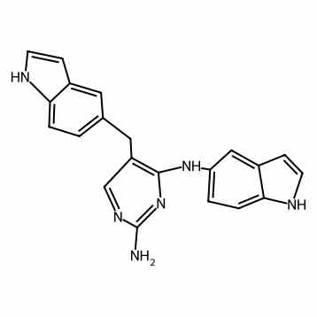 Nc1ncc(Cc2ccc3[nH]ccc3c2)c(Nc2ccc3[nH]ccc3c2)n1